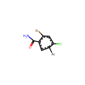 CC(=O)c1cc(C(N)=O)c(Br)cc1Cl